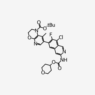 Cc1c(-c2cc3cc(NC(=O)OC4CCOCC4)ncc3c(Cl)c2F)cnc2c1N(C(=O)OC(C)(C)C)CCO2